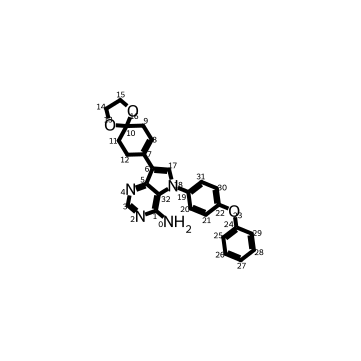 Nc1ncnc2c(C3=CCC4(CC3)OCCO4)cn(-c3ccc(Oc4ccccc4)cc3)c12